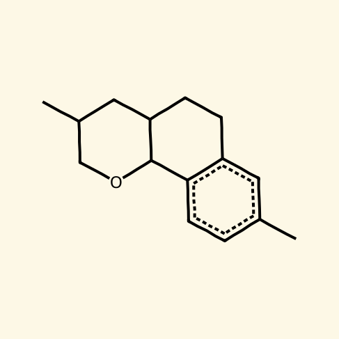 Cc1ccc2c(c1)CCC1CC(C)COC21